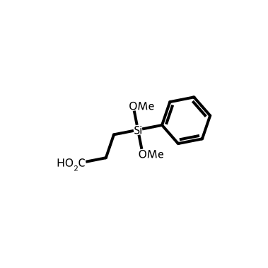 CO[Si](CCC(=O)O)(OC)c1ccccc1